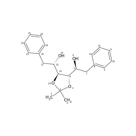 CC1(C)O[C@@H]([C@@H](O)Cc2ccccc2)[C@H]([C@@H](O)Cc2ccccc2)O1